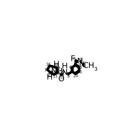 Cn1nc(F)c2cc(CNC(=O)[C@@H]3C[C@H]4CC[C@@H](C3)N4)ccc21